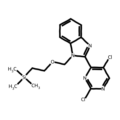 C[Si](C)(C)CCOCn1c(-c2nc(Cl)ncc2Cl)nc2ccccc21